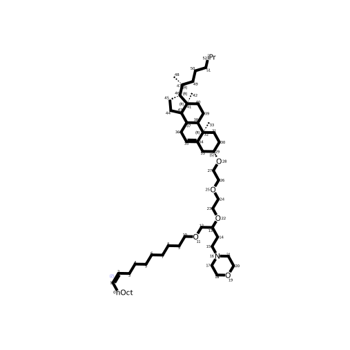 CCCCCCCC/C=C\CCCCCCCCOCC(CCN1CCOCC1)OCCOCCO[C@H]1CC[C@@]2(C)C(=CCC3C2CC[C@@]2(C)C3CC[C@@H]2[C@H](C)CCCC(C)C)C1